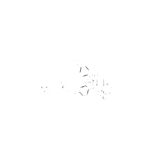 COC(=O)CCCc1ccc(C(CC23CC4CC(CC(C4)C2)C3)NS(=O)(=O)c2ccc(Cl)cc2)cc1